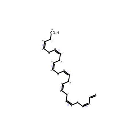 C=C/C=C\C/C=C\C/C=C\C/C=C\C/C=C\C/C=C\C/C=C\CC(=O)O